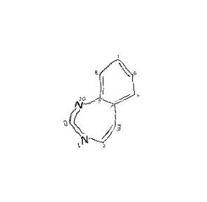 C1=NC=Cc2ccccc2N=1